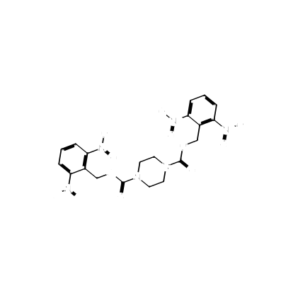 O=C(OCc1c([N+](=O)[O-])cccc1[N+](=O)[O-])N1CCN(C(=O)OCc2c([N+](=O)[O-])cccc2[N+](=O)[O-])CC1